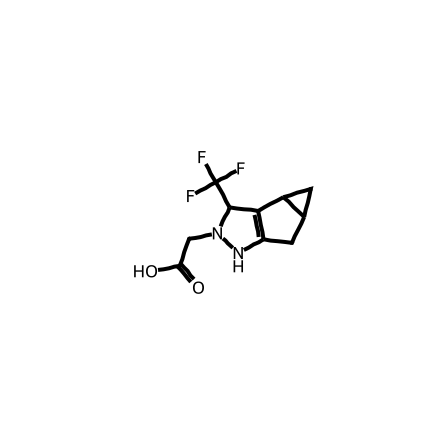 O=C(O)CN1NC2=C(C3CC3C2)C1C(F)(F)F